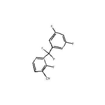 N#Cc1cccc(C(F)(F)c2cc(F)cc(F)c2)c1F